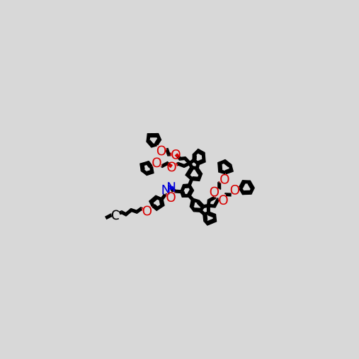 CCCCCCCCOc1ccc(-c2nnc(-c3cc(-c4ccc5c(c4)C(CCOCCOc4ccccc4)(CCOCCOc4ccccc4)c4ccccc4-5)cc(-c4ccc5c(c4)C(CCOCCOc4ccccc4)(CCOCCOc4ccccc4)c4ccccc4-5)c3)o2)cc1